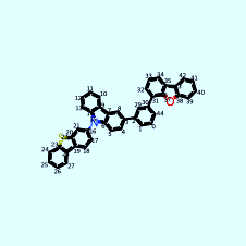 c1cc(-c2ccc3c(c2)c2ccccc2n3-c2ccc3c(c2)sc2ccccc23)cc(-c2cccc3c2oc2ccccc23)c1